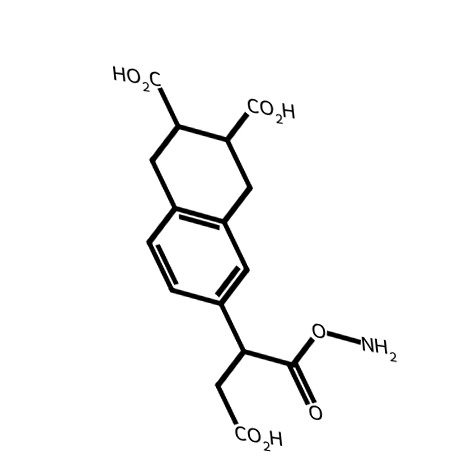 NOC(=O)C(CC(=O)O)c1ccc2c(c1)CC(C(=O)O)C(C(=O)O)C2